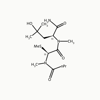 CCCC(=O)N(C)[C@@H](SC)C(=O)N(C)[C@@H](CC(C)(C)O)C(N)=O